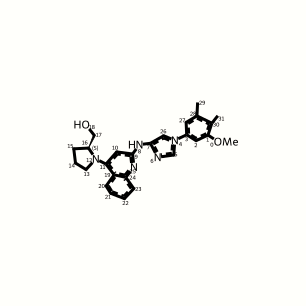 COc1cc(-n2cnc(Nc3cc(N4CCC[C@H]4CO)c4ccccc4n3)c2)cc(C)c1C